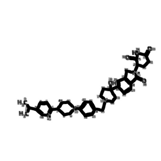 CC(C)c1ccc(C2CCN(c3ccc(CN4CCC(O)(c5ccc6c(c5)CN(C5CCC(=O)NC5=O)C6=O)CC4)cc3)CC2)nc1